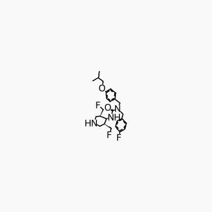 CC(C)COc1ccc(CN(Cc2ccc(F)cc2)C(=O)N[C@@H]2[C@H](CF)CNC[C@@H]2CF)cc1